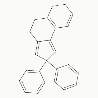 C1=CC2=C(CC1)CCC1=CC(c3ccccc3)(c3ccccc3)C=C12